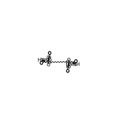 O=C(NC(Cc1c[nH]c2ccccc12)C(=O)NCCCCCCCCCCCCNC(=O)C(Cc1c[nH]c2ccccc12)NC(=O)OCc1ccccc1)OCc1ccccc1